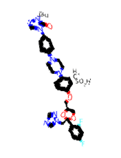 CCC(C)n1ncn(-c2ccc(N3CCN(c4ccc(OC[C@H]5CO[C@](Cn6cncn6)(c6ccc(F)cc6F)O5)cc4)CC3)cc2)c1=O.CS(=O)(=O)O